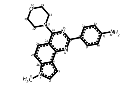 Cn1ccc2c3nc(-c4ccc(N)cc4)nc(N4CCOCC4)c3ccc21